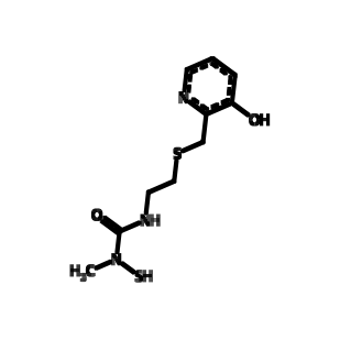 CN(S)C(=O)NCCSCc1ncccc1O